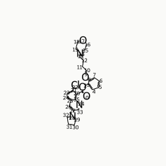 O=C(Oc1ccccc1OCCCCN1CCOCC1)c1c(Cl)ccc2cc(N3CCCC3)cnc12